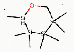 C[SiH]1OC[Si](C)(C)[Si](C)(C)[Si]1(C)C